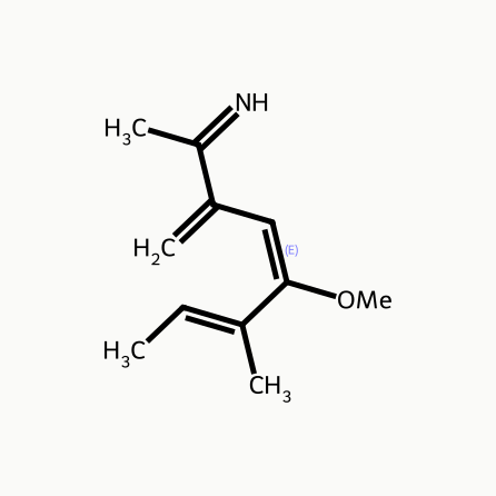 C=C(/C=C(/OC)C(C)=CC)C(C)=N